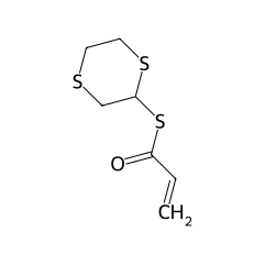 C=CC(=O)SC1CSCCS1